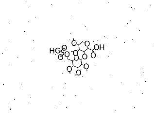 COC1COC(C(=O)O)C(OC2OC(COS(=O)(=O)O)C(OC)C(OC)C2OC)C1OC